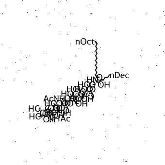 CCCCCCCC/C=C\CCCCCCCCCCCCCC(=O)N[C@@H](CO[C@@H]1OC(CO)[C@@H](O[C@@H]2OC(CO)[C@H](O[C@@H]3OC(CO)[C@H](O)[C@H](O[C@@H]4OC(CO)[C@H](O)[C@H](O[C@@H]5OC(CO)[C@H](O)[C@H](O[C@]6(C(=O)O)CC(O)[C@@H](NC(C)=O)C([C@H](O)[C@H](O)CO)O6)C5O)C4NC(C)=O)C3O)[C@H](O)C2O)[C@H](O)C1O)[C@H](O)/C=C/CCCCCCCCCCCCC